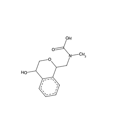 CN(CC1OCC(O)c2ccccc21)C(=O)O